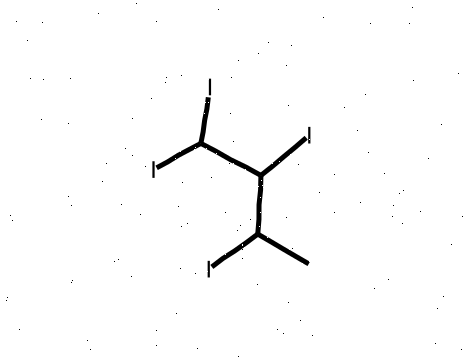 CC(I)C(I)C(I)I